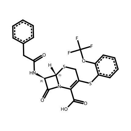 O=C(Cc1ccccc1)N[C@@H]1C(=O)N2C(C(=O)O)=C(Sc3ccccc3OC(F)(F)F)CS[C@@H]12